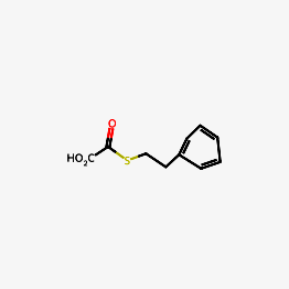 O=C(O)C(=O)SCCc1ccccc1